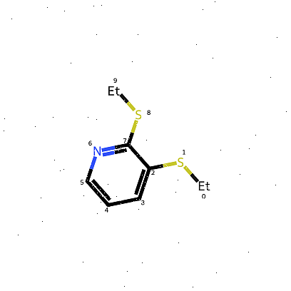 CCSc1cccnc1SCC